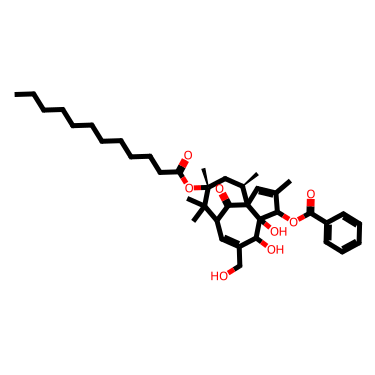 CCCCCCCCCCCC(=O)O[C@]1(C)C[C@@H](C)C23C=C(C)C(OC(=O)c4ccccc4)C2(O)C(O)C(CO)=CC(C3=O)C1(C)C